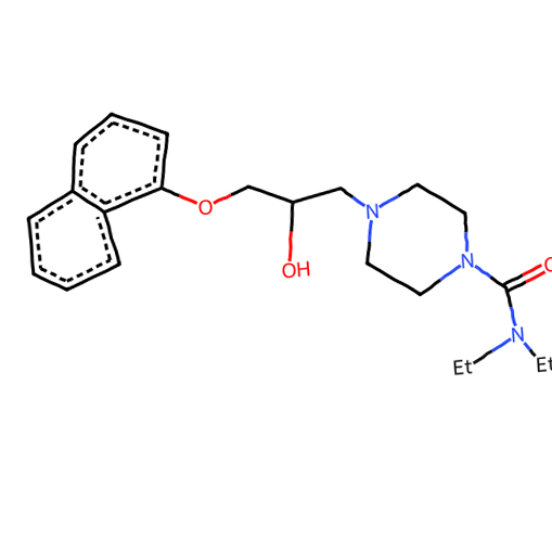 CCN(CC)C(=O)N1CCN(CC(O)COc2cccc3ccccc23)CC1